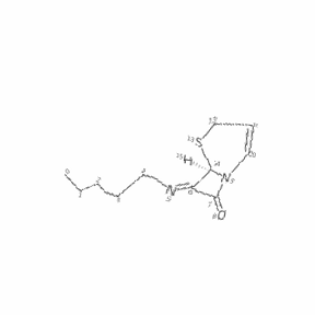 CCCCCN=C1C(=O)N2C=CCS[C@H]12